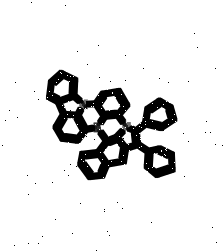 c1ccc(-c2c(-c3ccccc3)n3c4c(c5ccccc5cc24)B2c4c-3cccc4-n3c4ccccc4c4cccc2c43)cc1